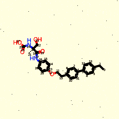 CCc1ccc(-c2ccc(CCOc3ccc(NC(=O)[C@](C)(CO)NC(=O)O)cc3)cc2)cc1